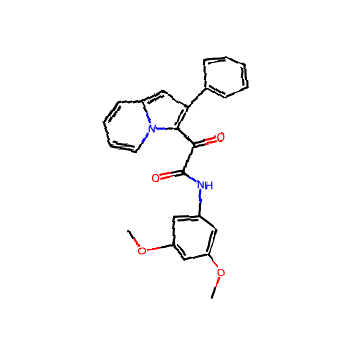 COc1cc(NC(=O)C(=O)c2c(-c3ccccc3)cc3ccccn23)cc(OC)c1